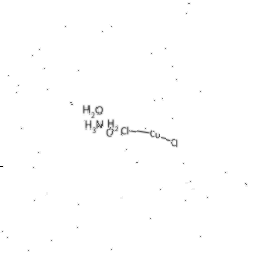 N.O.O.[Cl][Cu][Cl]